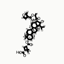 CCC(=O)N(NC(=O)c1ccoc1C)[C@@]12CC[C@]3(C)[C@H](CC[C@@H]4[C@@]5(C)CC[C@H](OC(=O)[C@H]6C[C@@H](C(=O)O)C6(C)C)C(C)(C)[C@@H]5CC[C@]43C)C1=C(C(C)C)C(=O)C2